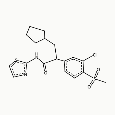 CS(=O)(=O)c1ccc(C(CC2CCCC2)C(=O)Nc2nccs2)cc1Cl